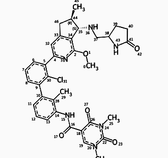 COc1nc(-c2cccc(-c3cccc(NC(=O)c4cn(C)c(=O)n(C)c4=O)c3C)c2Cl)cc2c1[C@@H](NCC1CCC(=O)N1)[C@H](C)C2